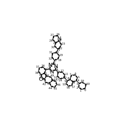 c1ccc(-c2cccc3c(-c4ccc(-c5nc(-c6ccc(-c7ccc8ncccc8c7)cc6)nc(-c6cccc7oc8cc9ccccc9cc8c67)n5)cc4)cccc23)cc1